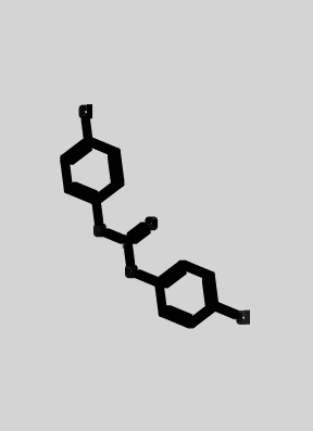 O=S(Oc1ccc(Cl)cc1)Oc1ccc(Cl)cc1